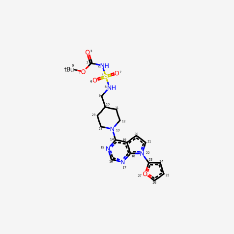 CC(C)(C)OC(=O)NS(=O)(=O)NCC1CCN(c2ncnc3c2ccn3-c2ccco2)CC1